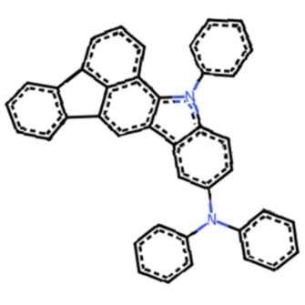 c1ccc(N(c2ccccc2)c2ccc3c(c2)c2cc4c5c(cccc5c2n3-c2ccccc2)-c2ccccc2-4)cc1